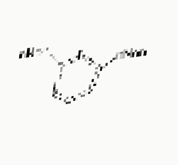 CCCCCCCCCc1cccc(CCCCCCCCC)n1